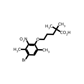 Cc1cc(Br)c(C)c([N+](=O)[O-])c1OCCCC(C)(C)C(=O)O